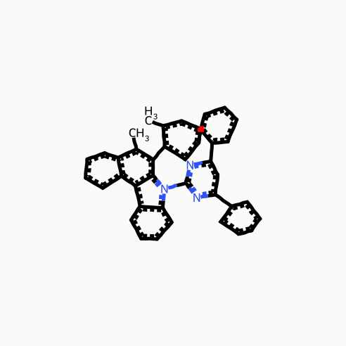 Cc1ccccc1-c1c(C)c2ccccc2c2c3ccccc3n(-c3nc(-c4ccccc4)cc(-c4ccccc4)n3)c12